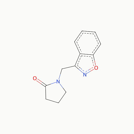 O=C1CCCN1Cc1noc2ccccc12